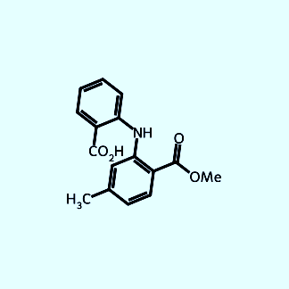 COC(=O)c1ccc(C)cc1Nc1ccccc1C(=O)O